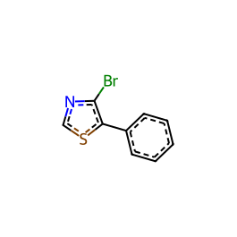 Brc1ncsc1-c1ccccc1